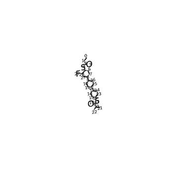 C=CC(=O)Sc1ccc(-c2ccc(-c3ccc(SC(=O)C(=C)C)cc3)cc2)cc1F